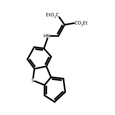 CCOC(=O)C(=CNc1ccc2sc3ccccc3c2c1)C(=O)OCC